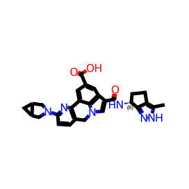 Cc1[nH]nc2c1CC[C@H]2NC(=O)c1cn2c3c(cc(C(=O)O)cc13)-c1nc(N3CC4CC4C3)ccc1C2